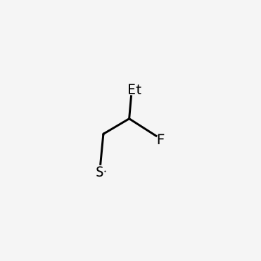 CCC(F)C[S]